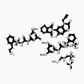 C#CCN1C(=O)COc2cc(F)c(N3C(=O)C4=C(CCCC4)C3=O)cc21.CCS(=O)(=O)c1cccnc1S(=O)(=O)NC(=O)Nc1nc(OC)cc(OC)n1.COc1nc(C)nc(NC(=O)NS(=O)(=O)c2ccccc2CCC(F)(F)F)n1.C[S+](C)C.O=C(O)CNCP(=O)([O-])O